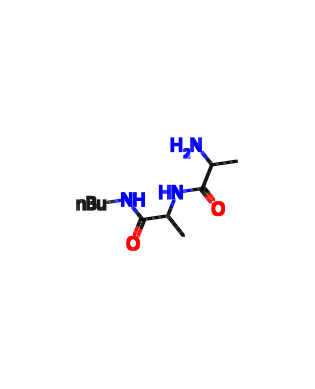 CCCCNC(=O)C(C)NC(=O)C(C)N